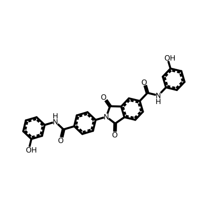 O=C(Nc1cccc(O)c1)c1ccc(N2C(=O)c3ccc(C(=O)Nc4cccc(O)c4)cc3C2=O)cc1